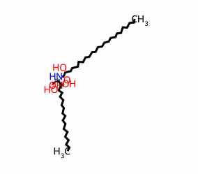 CCCCCCCCCCCCCCCCCCCCCCC(O)C(=O)N[C@H](CO)[C@H](O)C(O)CCCCCCCCCCCCCCCC